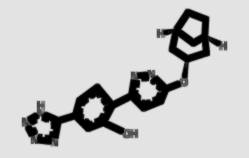 Oc1cc(-c2nnn[nH]2)ccc1-c1ccc(O[C@H]2C[C@@H]3CC[C@@H](C3)C2)nn1